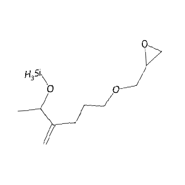 C=C(CCCOCC1CO1)C(C)O[SiH3]